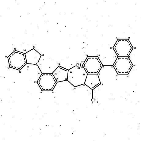 CC1=Cc2c(-c3cccc4ccccc34)cccc2C1CC1C(C)=Cc2c1cccc2N1CCc2ccccc21